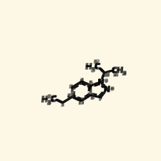 CCc1ccc2c(cnn2C(C)C)c1